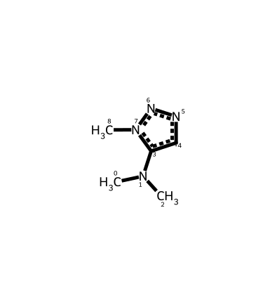 CN(C)c1[c]nnn1C